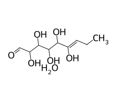 CCC=C(O)C(O)C(O)C(O)C(O)C=O.O